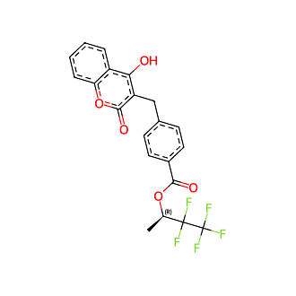 C[C@@H](OC(=O)c1ccc(Cc2c(O)c3ccccc3oc2=O)cc1)C(F)(F)C(F)(F)F